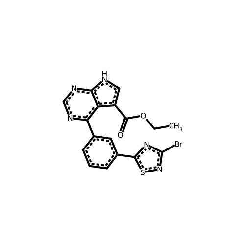 CCOC(=O)c1c[nH]c2ncnc(-c3cccc(-c4nc(Br)ns4)c3)c12